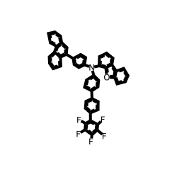 Fc1c(F)c(F)c(-c2ccc(-c3ccc(N(c4ccc(-c5cc6ccccc6c6ccccc56)cc4)c4cccc5c4oc4ccccc45)cc3)cc2)c(F)c1F